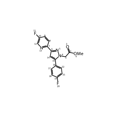 COC(=O)Cn1nc(-c2ccc(F)cn2)cc1-c1ccc(F)cc1